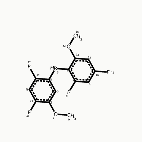 COc1cc(Bc2c(F)cc(F)cc2OC)c(F)cc1F